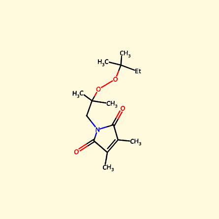 CCC(C)(C)OOC(C)(C)CN1C(=O)C(C)=C(C)C1=O